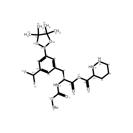 CC(C)(C)OC(=O)N[C@@H](Cc1cc(B2OC(C)(C)C(C)(C)O2)cc(C(F)F)c1)C(=O)OC(=O)C1CCCNN1